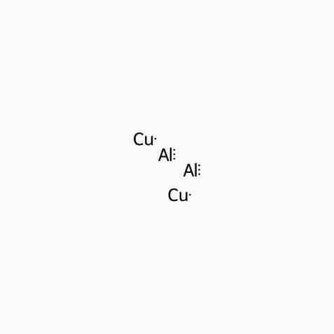 [Al].[Al].[Cu].[Cu]